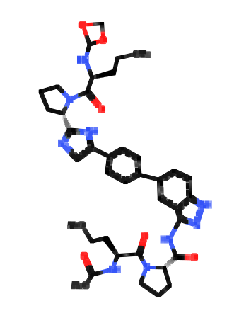 COCC[C@H](NC(=O)OC)C(=O)N1CCC[C@H]1C(=O)Nc1n[nH]c2ccc(-c3ccc(-c4cnc([C@@H]5CCCN5C(=O)[C@H](CCOC)NC5OCO5)[nH]4)cc3)cc12